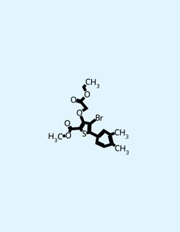 CCOC(=O)COc1c(C(=O)OC)sc(-c2ccc(C)c(C)c2)c1Br